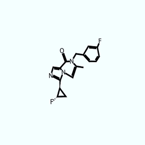 Cc1cn2c([C@H]3C[C@@H]3F)ncc2c(=O)n1Cc1cccc(F)c1